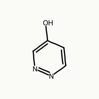 Oc1ccnnc1